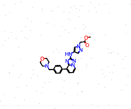 COC(=O)Cn1cc(Nc2nc3c(-c4ccc(CN5CCOCC5)cc4)cccn3n2)cn1